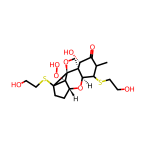 CC1C(=O)[C@@H](O)[C@]23CO[C@@]24C2(SCCO)CC[C@@H](O[C@@H]3C1SCCO)[C@@]24OO